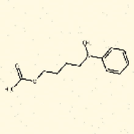 CC(=O)OCCCCN(C)c1ccccc1